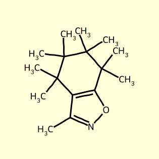 Cc1noc2c1C(C)(C)C(C)(C)C(C)(C)C2(C)C